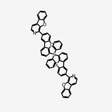 c1ccc([Si](c2ccccc2)(c2cccc3c2oc2ccc(-c4nccc5c4oc4ccccc45)cc23)c2cccc3c2sc2ccc(-c4nccc5c4oc4ccccc45)cc23)cc1